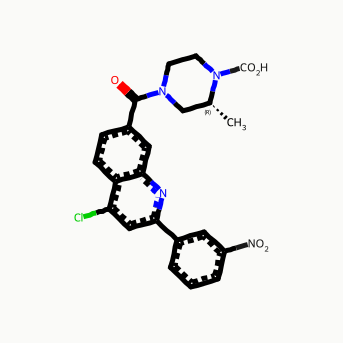 C[C@@H]1CN(C(=O)c2ccc3c(Cl)cc(-c4cccc([N+](=O)[O-])c4)nc3c2)CCN1C(=O)O